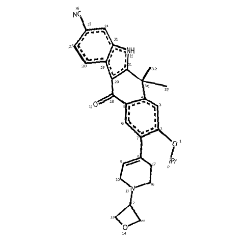 CC(C)Oc1cc2c(cc1C1=CCN(C3COC3)CC1)C(=O)c1c([nH]c3cc(C#N)ccc13)C2(C)C